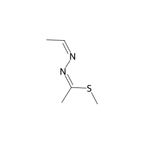 C/C=N\N=C(\C)SC